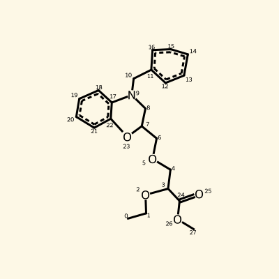 CCOC(COCC1CN(Cc2ccccc2)c2ccccc2O1)C(=O)OC